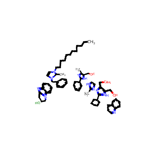 CCCCCCCCCCCCN1C=CN(Cc2ccccc2)C1C.Cc1nc(-c2ccccc2)[nH]c1CO.Cc1ncc[nH]1.Cl.OCc1nc(-c2ccccc2)[nH]c1CO.c1ccc2c(c1)nc1n2CCC1.c1ccc2ncccc2c1